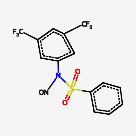 O=NN(c1cc(C(F)(F)F)cc(C(F)(F)F)c1)S(=O)(=O)c1ccccc1